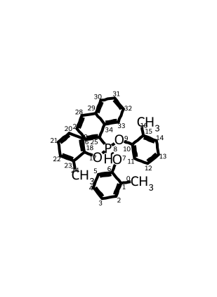 Cc1ccccc1O[PH](Oc1ccccc1C)(Oc1ccccc1C)c1cccc2ccccc12